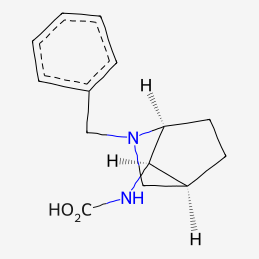 O=C(O)N[C@@H]1[C@H]2CC[C@@H]1N(Cc1ccccc1)C2